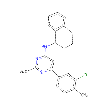 Cc1nc(NC2CCCc3ccccc32)cc(-c2ccc(C)c(Cl)c2)n1